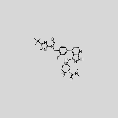 C[C@H]1CC[C@@H](Nc2n[nH]c3nccc(-c4ccc(CN(C=O)c5noc(C(C)(C)C)n5)c(F)c4)c23)CN1C(=O)N(C)C